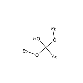 [CH2]C(=O)C(O)(OCC)OCC